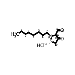 CCCCCCCCN1SCC(=O)C1C=O.Cl